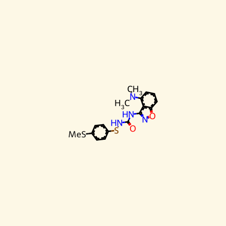 CSc1ccc(SNC(=O)Nc2noc3cccc(N(C)C)c23)cc1